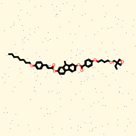 CCCCCCCCOc1ccc(/C=C/C(=O)Oc2ccc3c(c2)C(C)c2cc(OC(=O)c4ccc(OCCCCOCC5(CC)COC5)cc4)ccc2-3)cc1